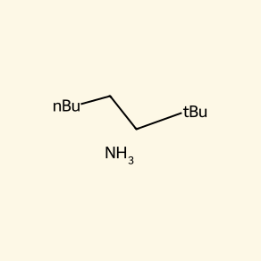 N.[CH2]CCCCCC(C)(C)C